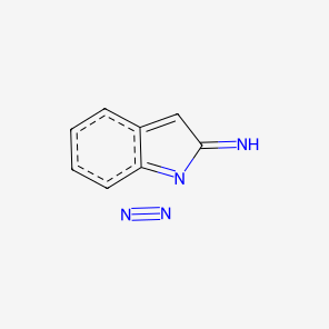 N#N.N=C1C=c2ccccc2=N1